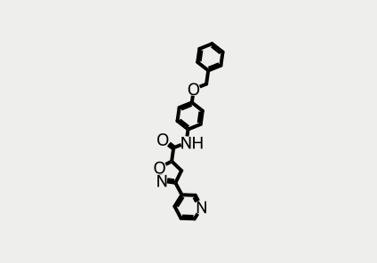 O=C(Nc1ccc(OCc2ccccc2)cc1)C1CC(c2cccnc2)=NO1